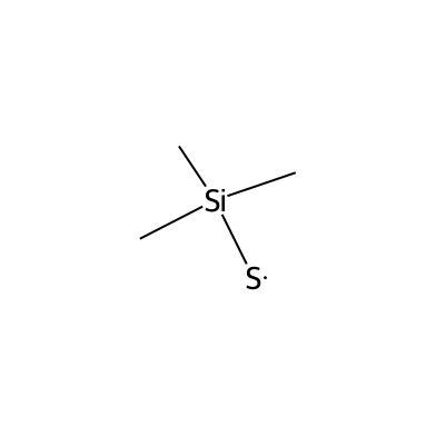 C[Si](C)(C)[S]